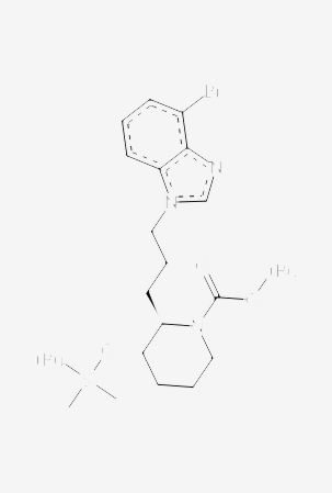 CC(C)(C)OC(=O)N1CCC[C@H](O[Si](C)(C)C(C)(C)C)[C@H]1CCCn1cnc2c(Br)cccc21